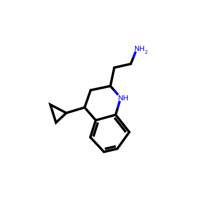 NCCC1CC(C2CC2)c2ccccc2N1